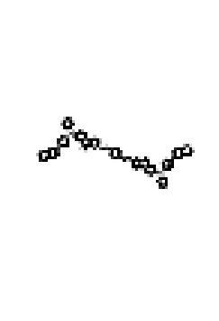 CC1(C)c2cc(/C=C/c3ccc(/C=C/c4ccc5c(c4)C(C)(C)c4cc(N(c6ccccc6)c6ccc(-c7ccc8ccccc8c7)cc6)ccc4-5)cc3)ccc2-c2ccc(N(c3ccccc3)c3ccc(-c4ccc5ccccc5c4)cc3)cc21